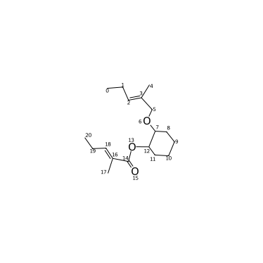 CCC=C(C)COC1CCCCC1OC(=O)C(C)=CCC